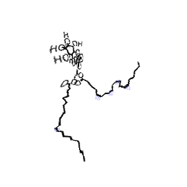 CCCCC/C=C\C/C=C\C/C=C\C/C=C\CCCC(=O)O[C@H](COC(=O)CCCCCCCCC/C=C\CCCCCCCC)COP(=O)(O)OC1C(O)C(O)C(O)[C@@H](O)C1O